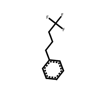 FC(F)(F)CCCc1cc[c]cc1